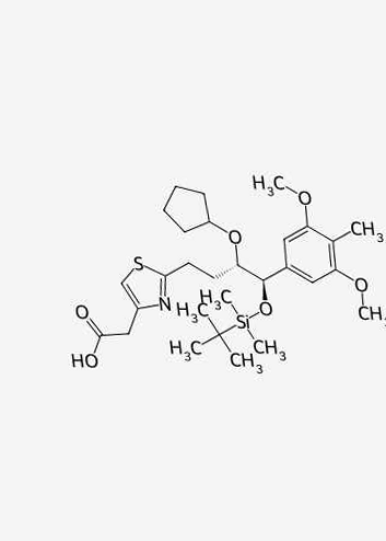 COc1cc([C@@H](O[Si](C)(C)C(C)(C)C)[C@H](CCc2nc(CC(=O)O)cs2)OC2CCCC2)cc(OC)c1C